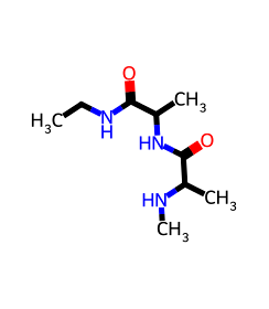 CCNC(=O)C(C)NC(=O)C(C)NC